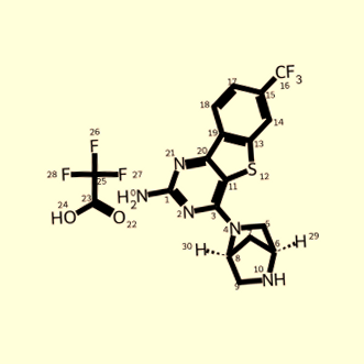 Nc1nc(N2C[C@@H]3C[C@H]2CN3)c2sc3cc(C(F)(F)F)ccc3c2n1.O=C(O)C(F)(F)F